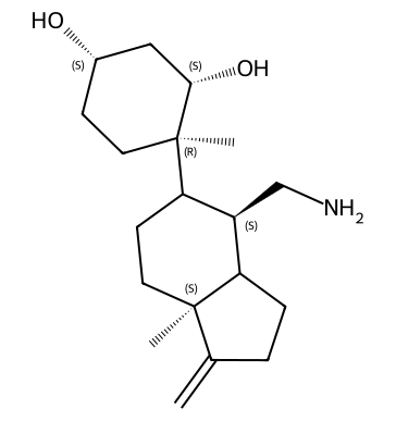 C=C1CCC2[C@H](CN)C([C@@]3(C)CC[C@H](O)C[C@@H]3O)CC[C@]12C